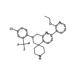 CCOc1ncccc1-c1ccc2c(n1)CN(c1ccc(Cl)cc1C(F)(F)F)CC21CCNCC1